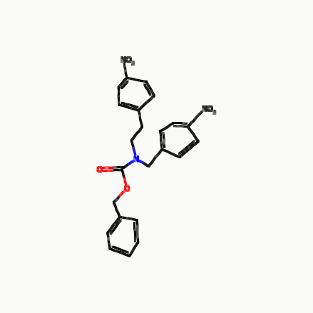 O=C(OCc1ccccc1)N(CCc1ccc([N+](=O)[O-])cc1)Cc1ccc([N+](=O)[O-])cc1